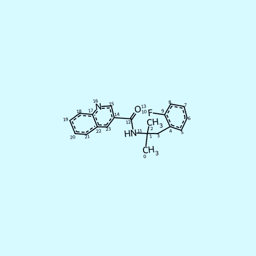 CC(C)(Cc1ccccc1F)NC(=O)c1cnc2ccccc2c1